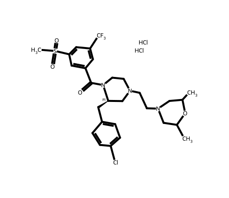 CC1CN(CCN2CCN(C(=O)c3cc(C(F)(F)F)cc(S(C)(=O)=O)c3)[C@H](Cc3ccc(Cl)cc3)C2)CC(C)O1.Cl.Cl